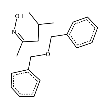 CC(CC(C)C)=NO.c1ccc(COCc2ccccc2)cc1